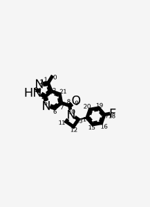 Cc1n[nH]c2ncc(C(=O)N3CC[C@@H]3c3ccc(F)cc3)cc12